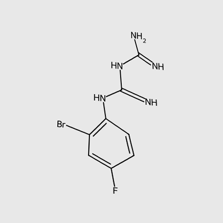 N=C(N)NC(=N)Nc1ccc(F)cc1Br